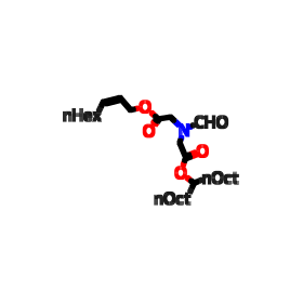 CCCCCC/C=C\COC(=O)CN(C=O)CC(=O)OC(CCCCCCCC)CCCCCCCC